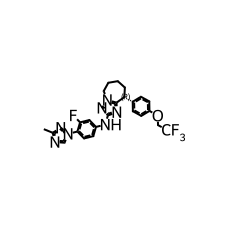 Cc1ncn(-c2ccc(Nc3nc4n(n3)CCCC[C@@H]4c3ccc(OCC(F)(F)F)cc3)cc2F)n1